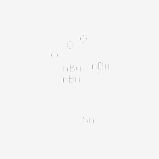 CCCC[O-].CCCC[O-].CCCC[O-].[CH3][Sn+3]